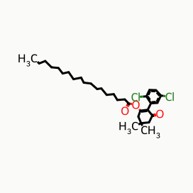 CCCCCCCCCCCCCCCCCC(=O)OC1=C(c2cc(Cl)ccc2Cl)C(=O)CC(C)(C)C1